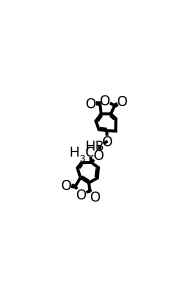 CC1(OBOC2=CC=C3C(=O)OC(=O)C3=CC2)C=CC2=C(C=C1)C(=O)OC2=O